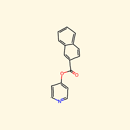 O=C(Oc1c[c]ncc1)c1ccc2ccccc2c1